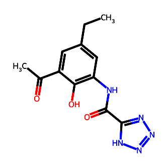 CCc1cc(NC(=O)c2nnn[nH]2)c(O)c(C(C)=O)c1